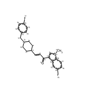 Cn1cc(C(=O)C=CC2CCN(Cc3ccc(F)cc3)CC2)c2cc(F)ccc21